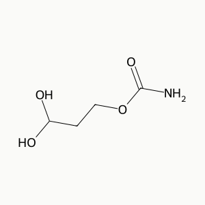 NC(=O)OCCC(O)O